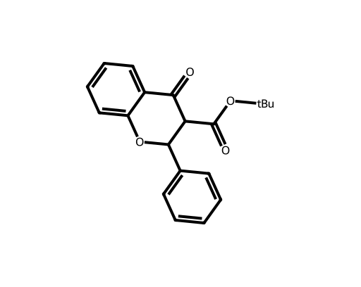 CC(C)(C)OC(=O)C1C(=O)c2ccccc2OC1c1ccccc1